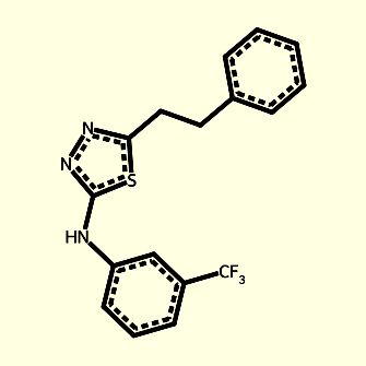 FC(F)(F)c1cccc(Nc2nnc(CCc3ccccc3)s2)c1